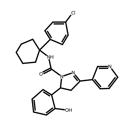 O=C(NC1(c2ccc(Cl)cc2)CCCCC1)N1N=C(c2cccnc2)CC1c1ccccc1O